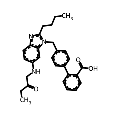 CCCCc1nc2ccc(NCC(=O)CC)cc2n1Cc1ccc(-c2ccccc2C(=O)O)cc1